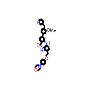 COc1cc(-c2ccc3c(c2)Nc2ccc(CCOc4ccc(N5CCOCC5)cc4)cc2NC3=O)ccc1Cc1cccnc1